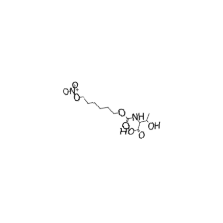 CC(O)C(NC(=O)OCCCCCCO[N+](=O)[O-])C(=O)O